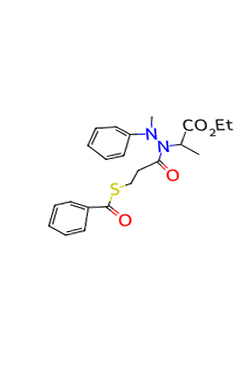 CCOC(=O)C(C)N(C(=O)CCSC(=O)c1ccccc1)N(C)c1ccccc1